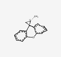 C[C@H]1CC12c1ccccc1Oc1ccccc12